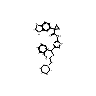 O=C(Nc1ncc(C(OCCN2CCCCC2)c2ccccc2Cl)s1)C1(c2ccc3c(c2)OCO3)CC1